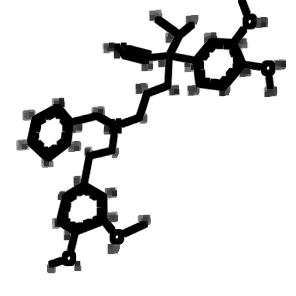 COc1ccc(CCN(CCCC(C#N)(c2ccc(OC)c(OC)c2)C(C)C)Cc2ccccc2)cc1OC